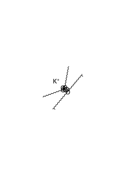 CC(C)CCCCCCCCCCCCCCCOC(=O)CCCCCCCCCCCCCCC(C)C.CCCCCCCCCCCCCCCCOP(=O)([O-])OCCCCCCCCCCCCCCCC.[K+]